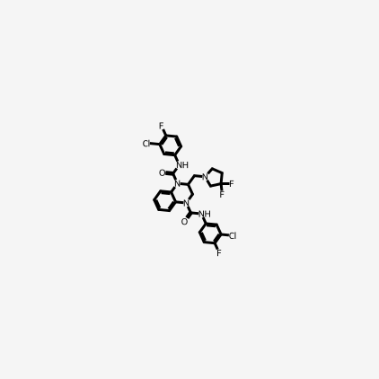 O=C(Nc1ccc(F)c(Cl)c1)N1CC(CN2CCC(F)(F)C2)N(C(=O)Nc2ccc(F)c(Cl)c2)c2ccccc21